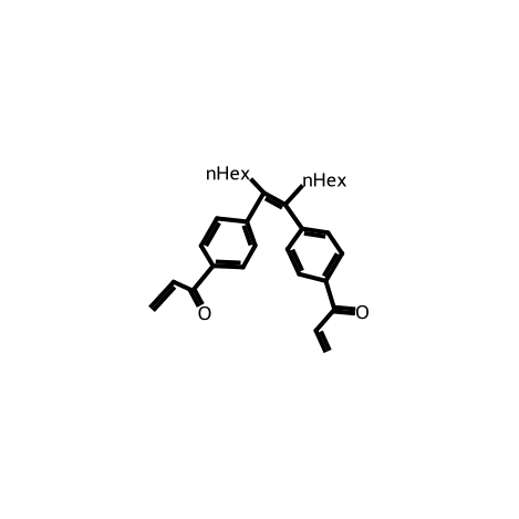 C=CC(=O)c1ccc(C(CCCCCC)=C(CCCCCC)c2ccc(C(=O)C=C)cc2)cc1